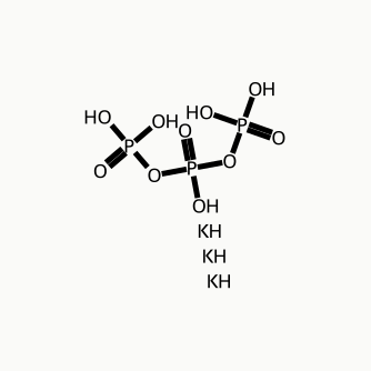 O=P(O)(O)OP(=O)(O)OP(=O)(O)O.[KH].[KH].[KH]